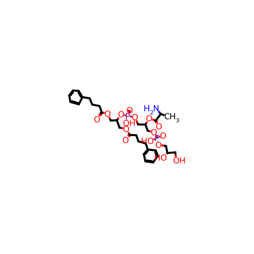 CC(N)C(=O)OC(COP(=O)(O)OCC(O)CO)COP(=O)(O)OC(COC(=O)CCCc1ccccc1)COC(=O)CCCc1ccccc1